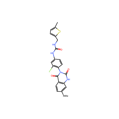 CNc1ccc2c(=O)n(-c3ccc(NC(=O)NCc4ccc(C)s4)cc3F)c(=O)[nH]c2c1